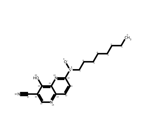 CCCCCCCC[S+]([O-])c1ccc2ncc(C#N)c(O)c2n1